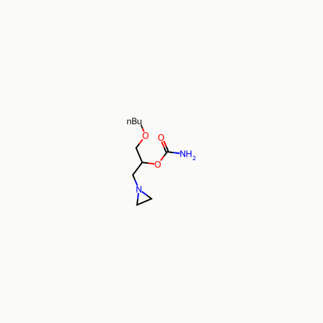 CCCCOCC(CN1CC1)OC(N)=O